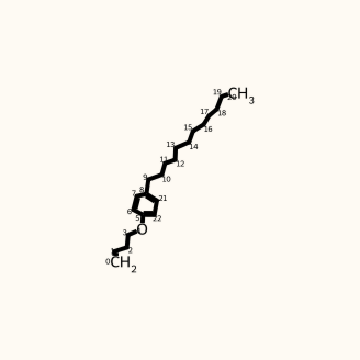 C=CCCOc1ccc(CCCCCCCCCCCC)cc1